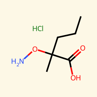 CCCC(C)(ON)C(=O)O.Cl